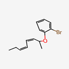 CC/C=C\C=C/C(C)Oc1ccccc1Br